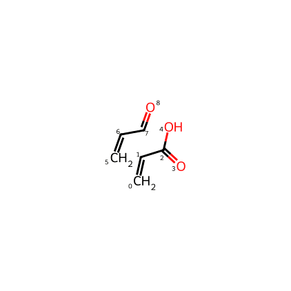 C=CC(=O)O.C=CC=O